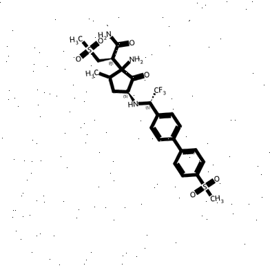 CC1C[C@H](N[C@@H](c2ccc(-c3ccc(S(C)(=O)=O)cc3)cc2)C(F)(F)F)C(=O)C1(N)[C@@H](CS(C)(=O)=O)C(N)=O